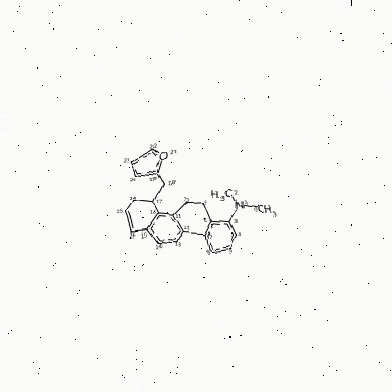 CN(C)c1cccc2c1CCc1c-2ccc2c1C(Cc1ccco1)CC=C2